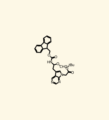 CC(C)(C)OC(=O)Cn1cc(CC(NC(=O)OCC2c3ccccc3-c3ccccc32)OC=O)c2cncnc21